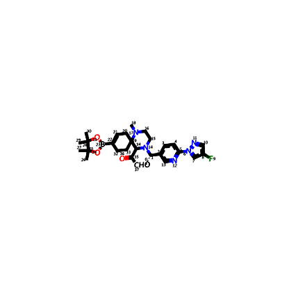 C[C@@H](c1ccc(-n2cc(F)cn2)nc1)N1CCN(C)C2(CC=C(B3OC(C)(C)C(C)(C)O3)CC2)C1C(=O)C=O